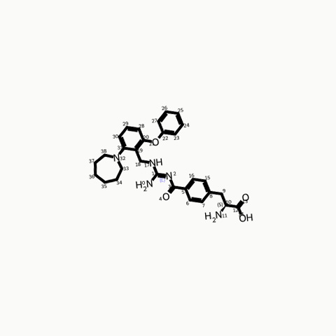 N/C(=N\C(=O)c1ccc(C[C@H](N)C(=O)O)cc1)NCc1c(Oc2ccccc2)cccc1N1CCCCCC1